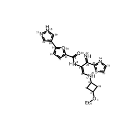 CCOC1CC(N/C=C(/NC(=O)c2ccc(-c3cn[nH]c3)o2)C(=N)c2nccs2)C1